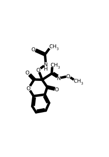 CON=C(C)C1(ONC(C)=O)C(=O)Oc2ccccc2C1=O